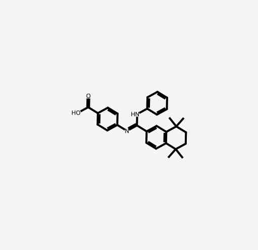 CC1(C)CCC(C)(C)c2cc(C(=Nc3ccc(C(=O)O)cc3)Nc3ccccc3)ccc21